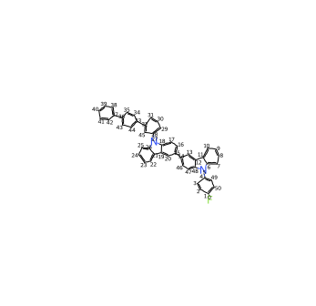 Fc1ccc(-n2c3ccccc3c3cc(-c4ccc5c(c4)c4ccccc4n5-c4cccc(-c5ccc(-c6ccccc6)cc5)c4)ccc32)cc1